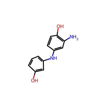 Nc1cc(Nc2cccc(O)c2)ccc1O